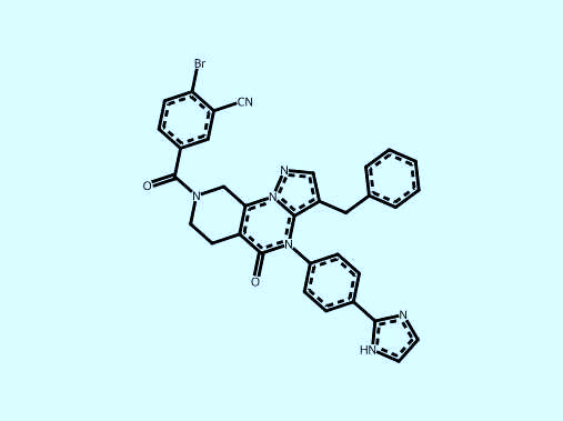 N#Cc1cc(C(=O)N2CCc3c(n4ncc(Cc5ccccc5)c4n(-c4ccc(-c5ncc[nH]5)cc4)c3=O)C2)ccc1Br